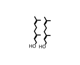 CC(C)=CCC/C(C)=C/CO.CC(C)=CCC/C(C)=C/CO